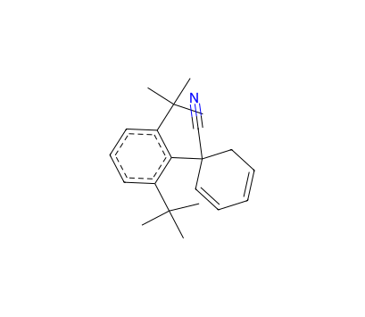 CC(C)(C)c1cccc(C(C)(C)C)c1C1(C#N)C=CC=CC1